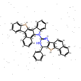 c1ccc(C2NC(n3c4ccccc4c4c5sc6ccccc6c5c5ccccc5c43)=Nc3c2sc2c3ccc3ccccc32)cc1